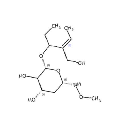 C/C=C(/CO)C(CC)O[C@@H]1O[C@H](NOC)C[C@H](O)C1O